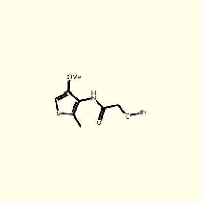 CCOCC(=O)Nc1c(OC)csc1C